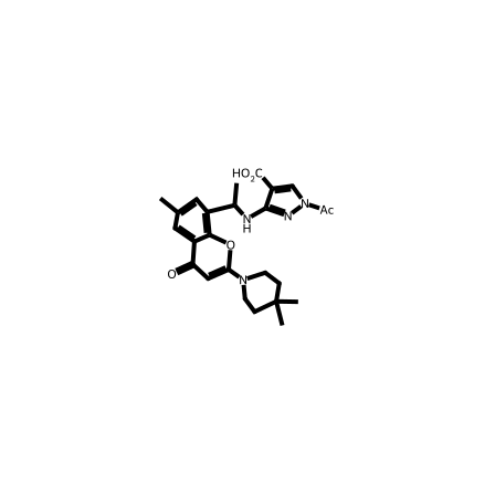 CC(=O)n1cc(C(=O)O)c(NC(C)c2cc(C)cc3c(=O)cc(N4CCC(C)(C)CC4)oc23)n1